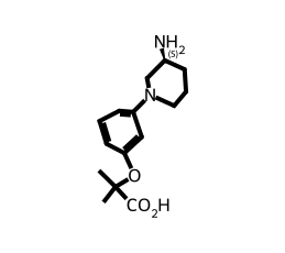 CC(C)(Oc1cccc(N2CCC[C@H](N)C2)c1)C(=O)O